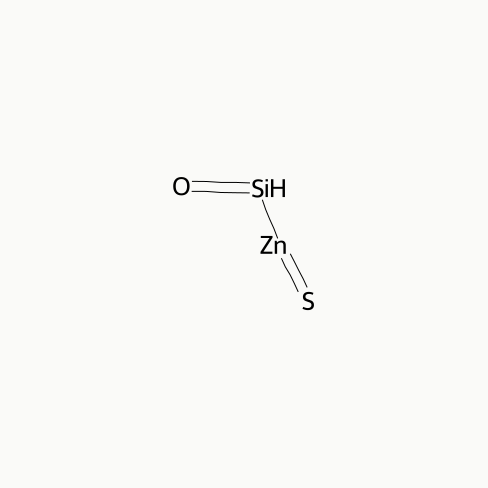 O=[SiH][Zn]=[S]